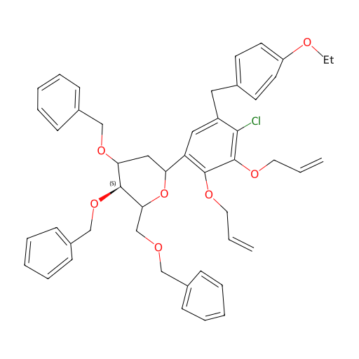 C=CCOc1c(C2CC(OCc3ccccc3)[C@H](OCc3ccccc3)C(COCc3ccccc3)O2)cc(Cc2ccc(OCC)cc2)c(Cl)c1OCC=C